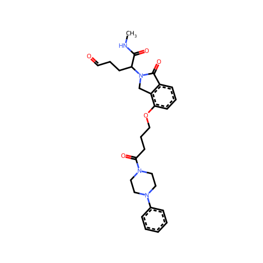 CNC(=O)C(CCC=O)N1Cc2c(OCCCC(=O)N3CCN(c4ccccc4)CC3)cccc2C1=O